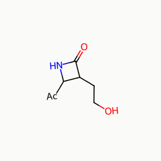 CC(=O)C1NC(=O)C1CCO